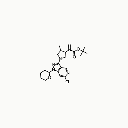 CC1CN(c2nn(C3CCCCO3)c3cc(Cl)ncc23)CC1NC(=O)OC(C)(C)C